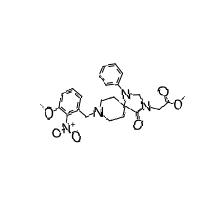 COC(=O)CN1CN(c2ccccc2)C2(CCN(Cc3cccc(OC)c3[N+](=O)[O-])CC2)C1=O